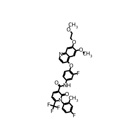 COCCOc1cc2nccc(Oc3ccc(NC(=O)c4ccc(C(F)(F)F)n(-c5ccc(F)cc5C)c4=O)cc3F)c2cc1OC